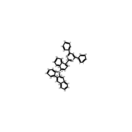 c1ccc(-c2cc(-c3ccccc3)nc(-c3ccc(-n4c5ccccc5c5cc6ccccc6cc54)c4ccccc34)n2)cc1